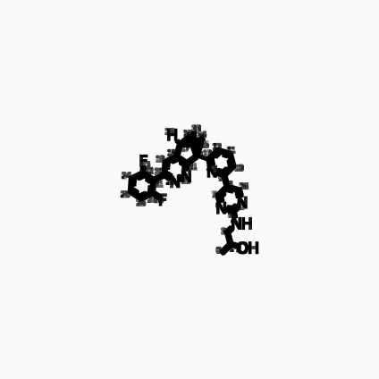 CC(O)CNc1ncc(-c2cccc([C@@]34CC[C@@H](c5cc(-c6c(F)cccc6F)nnc53)C4(C)C)n2)cn1